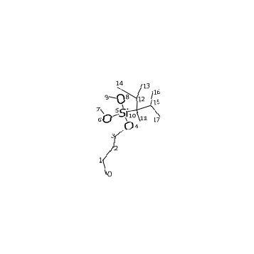 CCCCO[Si](OC)(OC)C(C)(C(C)C)C(C)C